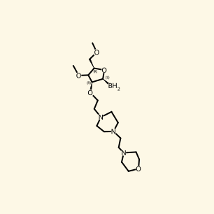 B[C@@H]1O[C@H](COC)C(OC)[C@@H]1OCCN1CCN(CCN2CCOCC2)CC1